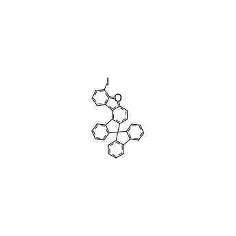 Ic1cccc2c1oc1ccc3c(c12)-c1ccccc1C31c2ccccc2-c2ccccc21